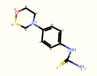 NC(=S)Nc1ccc(N2CCOSC2)cc1